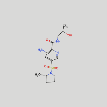 C[C@H]1CCCN1S(=O)(=O)c1cnc(C(=O)NCC(O)C(F)(F)F)c(N)c1